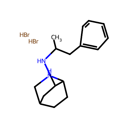 Br.Br.CC(Cc1ccccc1)NC1CC2CCC1NC2